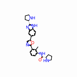 Cc1c(NC(=O)[C@@H]2CCCN2)cccc1-c1ncc(-c2ccc3[nH]c([C@@H]4CCCN4)nc3c2)o1